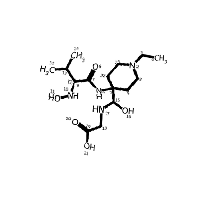 CCN1CCC(NC(=O)[C@@H](NO)C(C)C)(C(O)NCC(=O)O)CC1